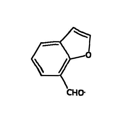 O=[C]c1cccc2ccoc12